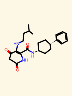 CC(C)CCNC1=C(C(=O)N[C@H]2CC[C@@H](c3ccccc3)CC2)NC(=O)CC1=O